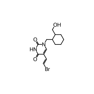 O=c1[nH]c(=O)n(CC2CCCCC2CO)cc1C=CBr